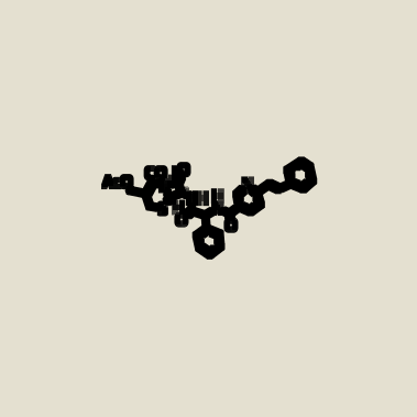 CC(=O)OCC1=C(C(=O)O)N2C(=O)[C@@H](NC(=O)C(NC(=O)c3ccc(C=Cc4ccccc4)nc3)c3ccccc3)[C@H]2SC1